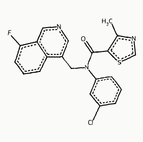 Cc1ncsc1C(=O)N(Cc1cncc2c(F)cccc12)c1cccc(Cl)c1